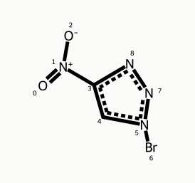 O=[N+]([O-])c1cn(Br)nn1